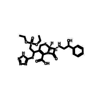 CCOP(=O)(CC(Sc1nnn[nH]1)C1=C(C(=O)O)N2C(=O)[C@@H](NCC(O)c3ccccc3)[C@@H]2SC1)OCC